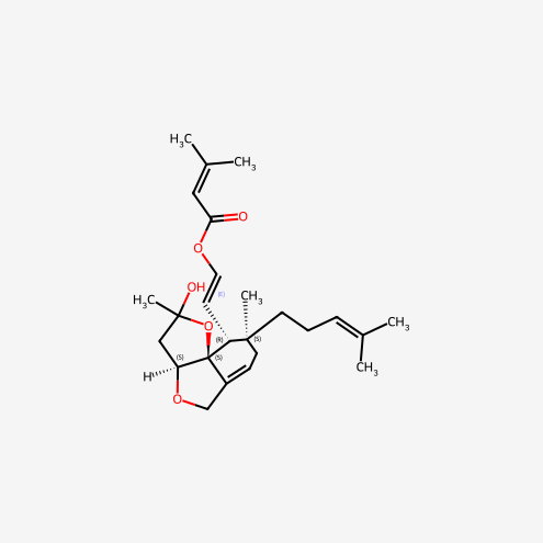 CC(C)=CCC[C@@]1(C)CC=C2CO[C@H]3CC(C)(O)O[C@@]23[C@@H]1/C=C/OC(=O)C=C(C)C